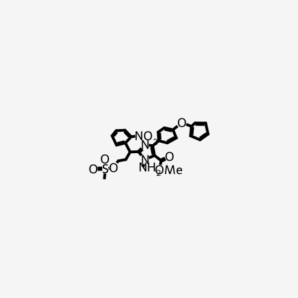 COC(=O)c1c(-c2ccc(Oc3ccccc3)cc2)nc(C(CCOS(C)(=O)=O)c2ccccc2[N+](=O)[O-])n1N